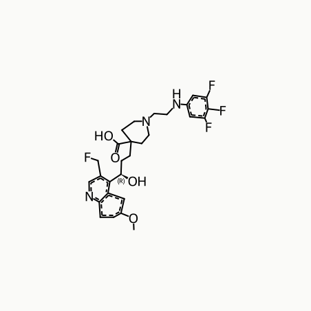 COc1ccc2ncc(CF)c([C@H](O)CCC3(C(=O)O)CCN(CCNc4cc(F)c(F)c(F)c4)CC3)c2c1